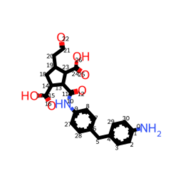 Nc1ccc(Cc2ccc(NC(=O)C3C(C(=O)O)CC(CC=O)C3C(=O)O)cc2)cc1